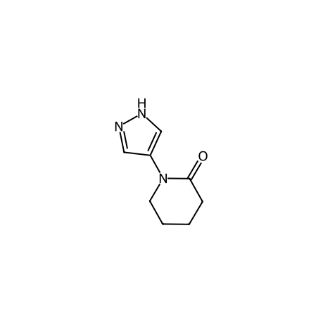 O=C1CCCCN1c1cn[nH]c1